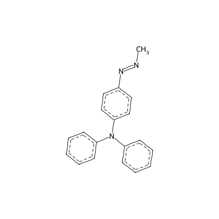 CN=Nc1ccc(N(c2ccccc2)c2ccccc2)cc1